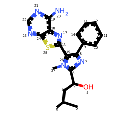 CC(C)CC(O)c1nc(-c2ccccc2)c(-c2nc3c(N)ncnc3s2)n1C